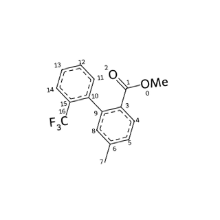 COC(=O)c1ccc(C)cc1-c1ccccc1C(F)(F)F